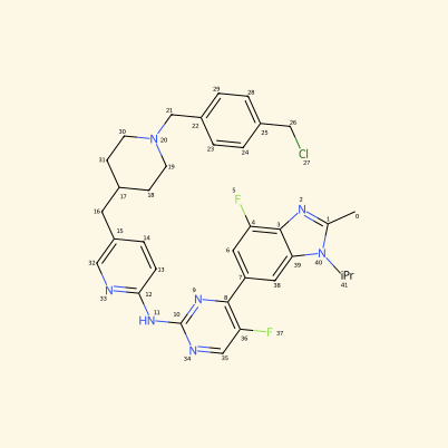 Cc1nc2c(F)cc(-c3nc(Nc4ccc(CC5CCN(Cc6ccc(CCl)cc6)CC5)cn4)ncc3F)cc2n1C(C)C